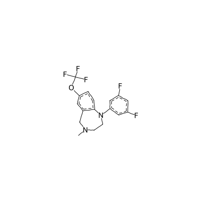 CN1CCN(c2cc(F)cc(F)c2)c2ccc(OC(F)(F)F)cc2C1